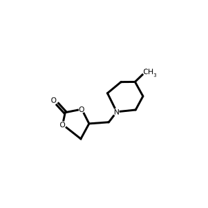 CC1CCN(CC2COC(=O)O2)CC1